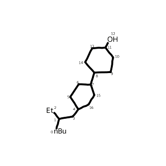 CCCCC(CC)CC1CCC(C2CCC(O)CC2)CC1